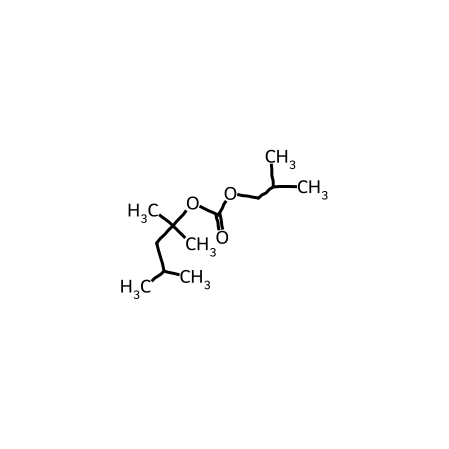 CC(C)COC(=O)OC(C)(C)CC(C)C